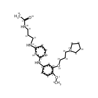 COc1ccc(Nc2nccc(NCCCNC(C)=O)n2)cc1OCCCN1CCCC1